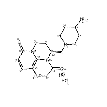 Cl.Cl.NC1CCN(C[C@@H]2CCn3c4c(ccc3=O)NCC(=O)N42)CC1